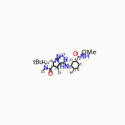 CONC(=O)c1ccc(C)c(Nc2ncnn3cc(C(=O)N(C)CC(C)(C)C)c(C)c23)c1